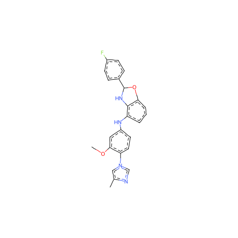 COc1cc(Nc2cccc3c2NC(c2ccc(F)cc2)O3)ccc1-n1cnc(C)c1